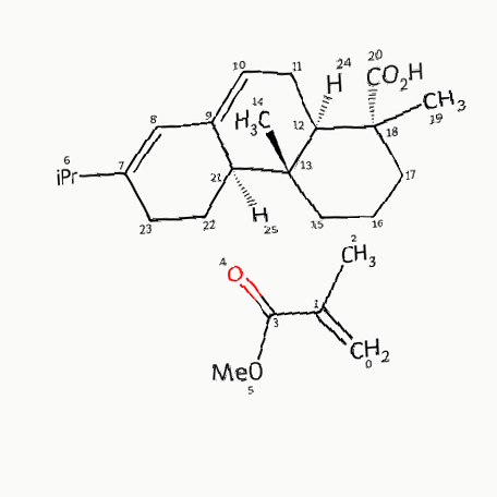 C=C(C)C(=O)OC.CC(C)C1=CC2=CC[C@@H]3[C@](C)(CCC[C@@]3(C)C(=O)O)[C@H]2CC1